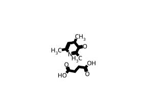 CC1=CC(C)C(=O)C(C)=N1.O=C(O)CCC(=O)O